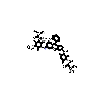 Cc1cc(C)c(Nc2ccc3c(-c4ccccc4S(=O)(=O)O)c4cc/c(=N\c5c(C)c(NC(=O)N(C(C)C)C(C)C)c(C)c(S(=O)(=O)O)c5C)cc-4oc3c2)c(C)c1NC(=O)N(C(C)C)C(C)C